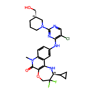 Cn1c(=O)c2c(c3cc(Nc4nc(N5CCC[C@H](CO)C5)ncc4Cl)ccc31)N[C@@H](C1CC1)C(F)(F)CO2